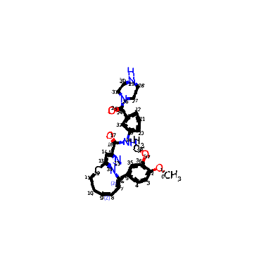 COc1ccc(/C2=C/C=C\CCCc3cc(C(=O)Nc4cccc(C(=O)N5CCNCC5)c4)nn32)cc1OC